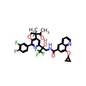 CC(=O)[C@@]1(C)COc2c1cc(C(O)(CNC(=O)c1cc(OC3CC3)c3ncccc3c1)C(F)(F)F)nc2-c1ccc(F)c(F)c1